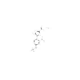 CCOC(=O)c1nc(C)c(-c2cnc(NC(C)(C)C)cc2C(F)F)s1